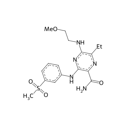 CCc1nc(C(N)=O)c(Nc2cccc(S(C)(=O)=O)c2)nc1NCCOC